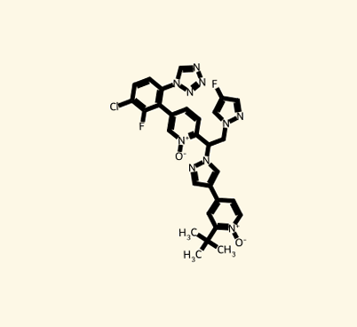 CC(C)(C)c1cc(-c2cnn(C(Cn3cc(F)cn3)c3ccc(-c4c(-n5cnnn5)ccc(Cl)c4F)c[n+]3[O-])c2)cc[n+]1[O-]